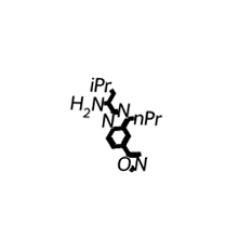 CCCc1nc(C(N)CC(C)C)nc2ccc(-c3cnco3)cc12